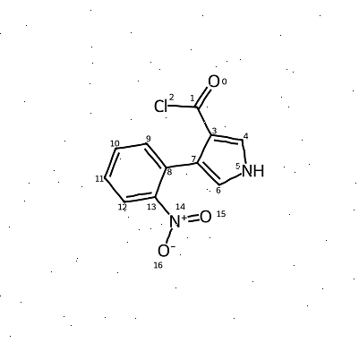 O=C(Cl)c1c[nH]cc1-c1ccccc1[N+](=O)[O-]